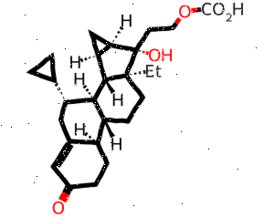 CC[C@]12CC[C@H]3[C@H]([C@@H]1[C@H]1C[C@H]1[C@@]2(O)CCOC(=O)O)[C@@H](C1CC1)CC1=CC(=O)CC[C@@H]13